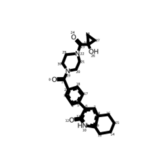 O=C(c1ccc(-c2cc3c([nH]c2=O)CCCC3)cc1)N1CCN(C(=O)C2(O)CC2)CC1